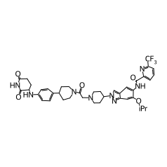 CC(C)Oc1cc2nn(C3CCN(CC(=O)N4CCC(c5ccc(NC6CCC(=O)NC6=O)cc5)CC4)CC3)cc2cc1NC(=O)c1cccc(C(F)(F)F)n1